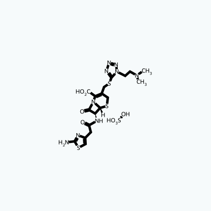 CN(C)CCn1nnnc1SCC1=C(C(=O)O)N2C(=O)[C@@H](NC(=O)Cc3csc(N)n3)[C@H]2SC1.O=S(=O)(O)O